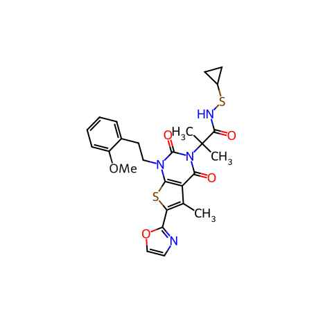 COc1ccccc1CCn1c(=O)n(C(C)(C)C(=O)NSC2CC2)c(=O)c2c(C)c(-c3ncco3)sc21